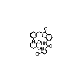 O=C(Nc1cccc2c1CN(Cc1cccc(N3CCCC(O)C3=O)c1)C2=O)c1ccc(Cl)s1